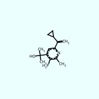 C=C(c1cc(C(C)(C)O)c(P)c(C)n1)C1CC1